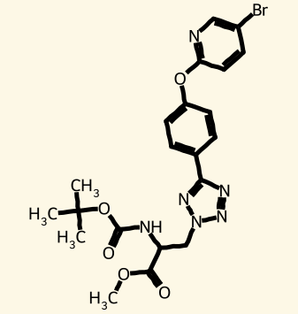 COC(=O)C(Cn1nnc(-c2ccc(Oc3ccc(Br)cn3)cc2)n1)NC(=O)OC(C)(C)C